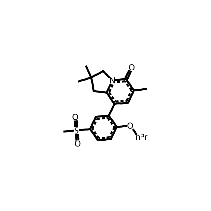 CCCOc1ccc(S(C)(=O)=O)cc1-c1cc(C)c(=O)n2c1CC(C)(C)C2